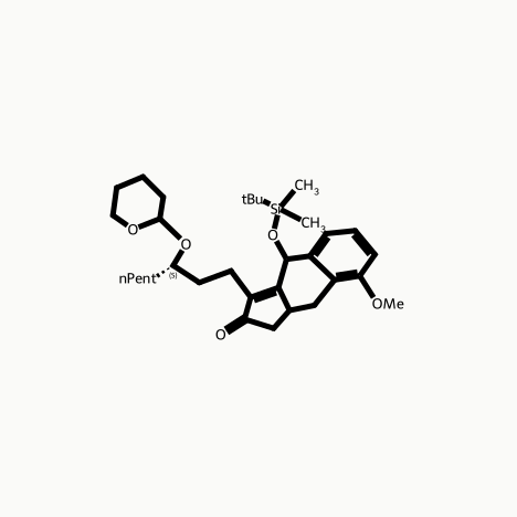 CCCCC[C@@H](CCC1=C2C(CC1=O)Cc1c(OC)cccc1C2O[Si](C)(C)C(C)(C)C)OC1CCCCO1